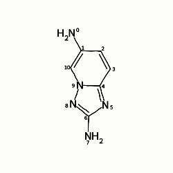 Nc1ccc2nc(N)nn2c1